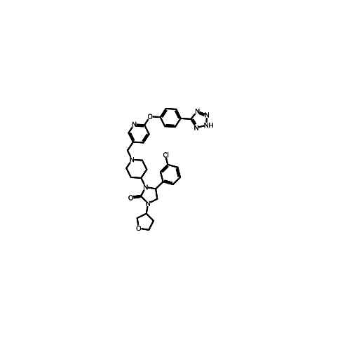 O=C1N(C2CCOC2)CC(c2cccc(Cl)c2)N1C1CCN(Cc2ccc(Oc3ccc(-c4nn[nH]n4)cc3)nc2)CC1